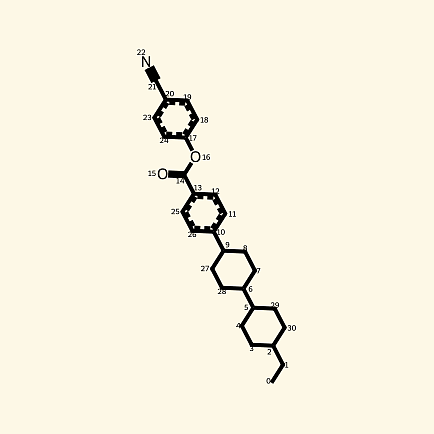 CCC1CCC(C2CCC(c3ccc(C(=O)Oc4ccc(C#N)cc4)cc3)CC2)CC1